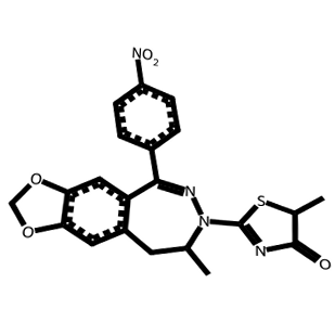 CC1SC(N2N=C(c3ccc([N+](=O)[O-])cc3)c3cc4c(cc3CC2C)OCO4)=NC1=O